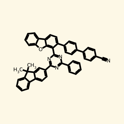 CC1(C)c2ccccc2-c2ccc(-c3nc(-c4ccccc4)nc(-c4c(-c5ccc(-c6ccc(C#N)cc6)cc5)ccc5c4oc4ccccc45)n3)cc21